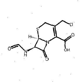 O=CN[C@@H]1C(=O)N2C(C(=O)O)=C(CCl)CS[C@H]12